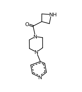 O=C(C1CNC1)N1CCN(c2ccncc2)CC1